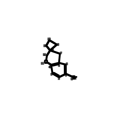 Brc1ccc2c(c1)CC1(CCC1)CO2